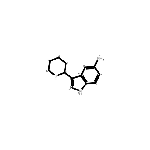 Nc1ccc2[nH]nc(C3CCCCO3)c2c1